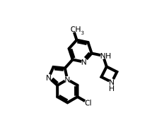 Cc1cc(NC2CNC2)nc(-c2cnc3ccc(Cl)cn23)c1